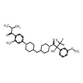 COc1cccc(C(O)(C(=O)N2CCC(CC3CCN(c4ccc(C(=O)N(C)C)c(C)c4)CC3)CC2)C(F)(F)F)c1